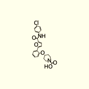 O=C(Nc1ccc(Cl)cc1)c1ccc(-c2ccccc2OC2CCN(C(=O)O)CC2)o1